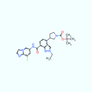 CCn1cc2c(C3CCN(C(=O)OC(C)(C)C)C3)ccc(C(=O)Nc3cc(F)c4nccn4c3)c2n1